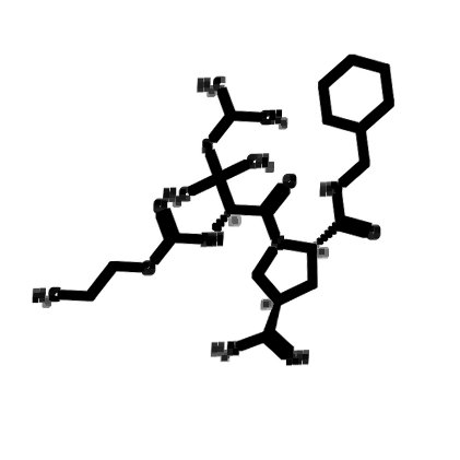 CCCOC(=O)N[C@@H](C(=O)N1C[C@H](C(=N)N)C[C@H]1C(=O)NCC1CCCCC1)C(C)(C)SC(C)C